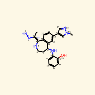 C/C(N=N)=C1/NCCC(Nc2ccccc2O)c2cc(-c3cnn(C)c3)ccc21